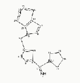 N=C(c1csc(Cn2ccc3ccncc32)c1)N1CCCC1